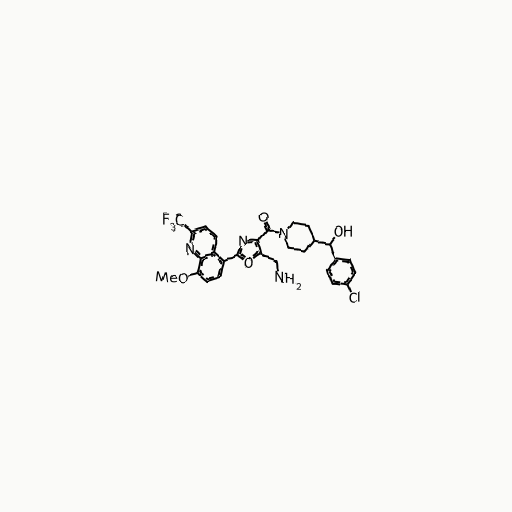 COc1ccc(-c2nc(C(=O)N3CCC(C(O)c4ccc(Cl)cc4)CC3)c(CN)o2)c2ccc(C(F)(F)F)nc12